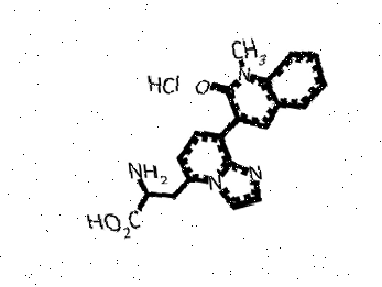 Cl.Cn1c(=O)c(-c2ccc(CC(N)C(=O)O)n3ccnc23)cc2ccccc21